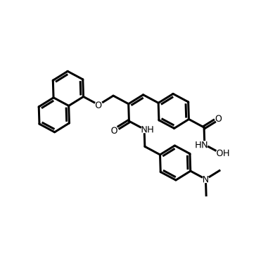 CN(C)c1ccc(CNC(=O)C(=Cc2ccc(C(=O)NO)cc2)COc2cccc3ccccc23)cc1